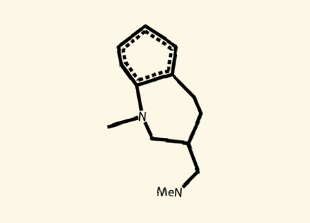 CNCC1CCc2ccccc2N(C)C1